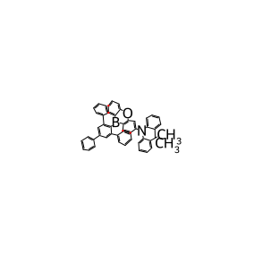 CC1(C)c2ccccc2N(c2ccc3c(c2)Oc2ccccc2B3c2c(-c3ccccc3)cc(-c3ccccc3)cc2-c2ccccc2)c2ccccc21